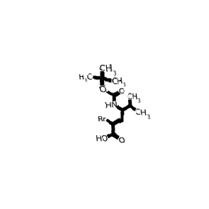 CC(C)C(/C=C(\Br)C(=O)O)NC(=O)OC(C)(C)C